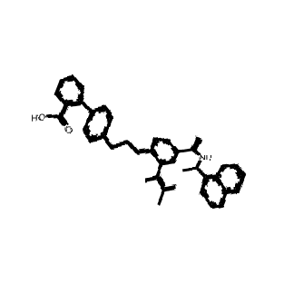 C=C(NC(C)c1cccc2ccccc12)c1ccc(CCCc2ccc(-c3ccccc3C(=O)O)cc2)c(C(C)=C(C)C)c1